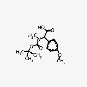 COc1ccc(C(C(=O)O)N(C)C(=O)OC(C)(C)C)cc1